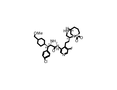 COCC1CCC([C@H](c2ccc(Cl)cc2)[C@H](N)C(=O)Nc2cncc(F)c2CC[C@H]2CN[C@@H]3CCCS(=O)(=O)N2C3)CC1